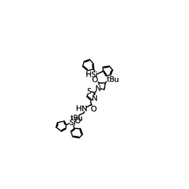 CC(C)(C)C1CN(c2nc(C(=O)NCCO[Si](c3ccccc3)(c3ccccc3)C(C)(C)C)cs2)C1O[SiH](c1ccccc1)c1ccccc1